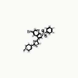 CN1CCC(C2=NC(c3cn(S(=O)(=O)c4ccccc4)c4ncc(Br)cc34)CS2)CC1